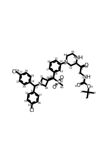 CC(C)(C)OC(=O)NCC(=O)C1CN(c2cccc(C(=C3CN(C(c4ccc(Cl)cc4)c4ccc(Cl)cc4)C3)S(C)(=O)=O)c2)CCN1